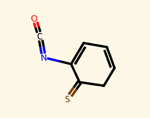 O=C=NC1=CC=CCC1=S